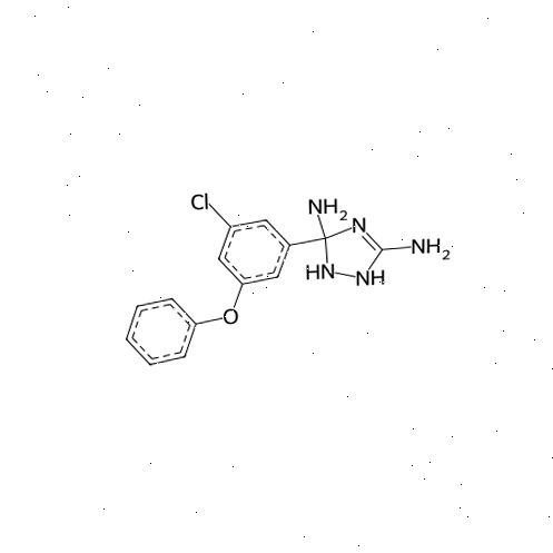 NC1=NC(N)(c2cc(Cl)cc(Oc3ccccc3)c2)NN1